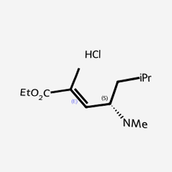 CCOC(=O)/C(C)=C/[C@H](CC(C)C)NC.Cl